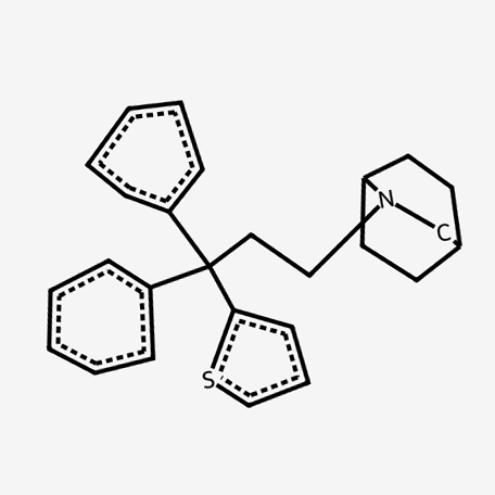 c1ccc(C(CCN2CC3CCC2CC3)(c2ccccc2)c2cccs2)cc1